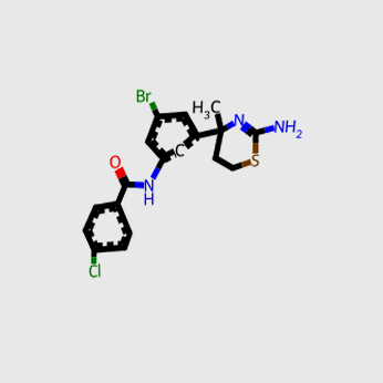 CC1(c2cc(Br)cc(NC(=O)c3ccc(Cl)cc3)c2)CCSC(N)=N1